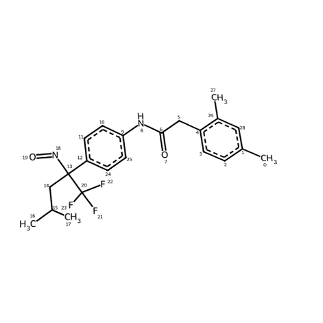 Cc1ccc(CC(=O)Nc2ccc(C(CC(C)C)(N=O)C(F)(F)F)cc2)c(C)c1